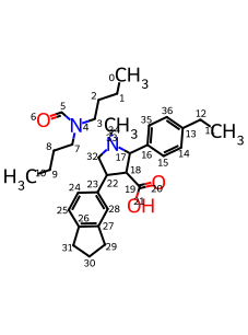 CCCCN(C=O)CCCC.CCc1ccc(C2C(C(=O)O)C(c3ccc4c(c3)CCC4)CN2C)cc1